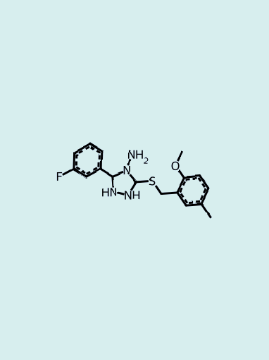 COc1ccc(C)cc1CSC1NNC(c2cccc(F)c2)N1N